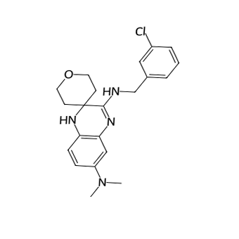 CN(C)c1ccc2c(c1)N=C(NCc1cccc(Cl)c1)C1(CCOCC1)N2